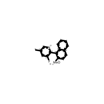 COc1ccc2ccccc2c1-c1ncc(C)cc1F